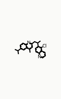 Cc1cc(CC(C)c2ccc3ncccc3c2Cl)nc2ccc(C(C)C)cc12